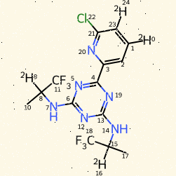 [2H]c1cc(-c2nc(NC([2H])(C)C(F)(F)F)nc(NC([2H])(C)C(F)(F)F)n2)nc(Cl)c1[2H]